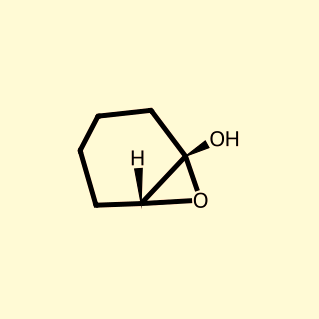 O[C@]12CCCC[C@H]1O2